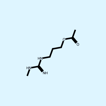 CNC(=N)NCCCOC(C)=O